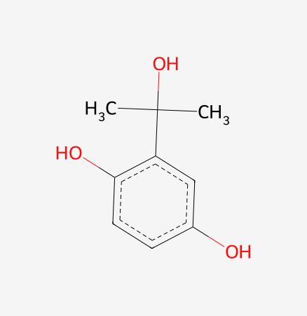 CC(C)(O)c1cc(O)ccc1O